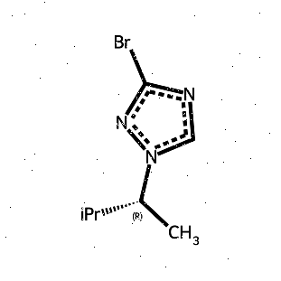 CC(C)[C@@H](C)n1cnc(Br)n1